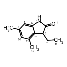 CCC1C(=O)Nc2cc(C)cc(C)c21